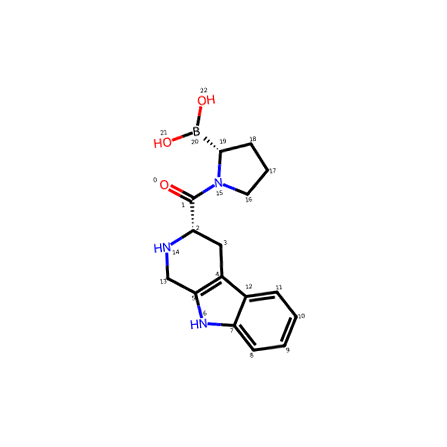 O=C([C@@H]1Cc2c([nH]c3ccccc23)CN1)N1CCC[C@H]1B(O)O